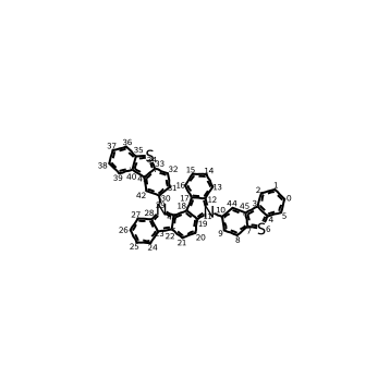 c1ccc2c(c1)sc1ccc(-n3c4ccccc4c4c3ccc3c5ccccc5n(-c5ccc6sc7ccccc7c6c5)c34)cc12